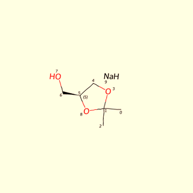 CC1(C)OC[C@H](CO)O1.[NaH]